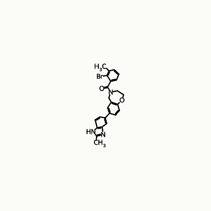 Cc1nc2cc(-c3ccc4c(c3)CN(C(=O)c3cccc(C)c3Br)CCO4)ccc2[nH]1